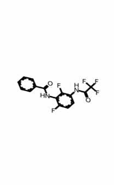 O=C(Nc1c(F)ccc(NC(=O)C(F)(F)F)c1F)c1ccccc1